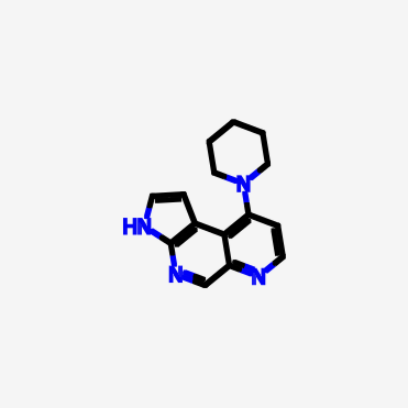 c1cc(N2CCCCC2)c2c(cnc3[nH]ccc32)n1